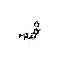 Cc1c(Nc2ncc3cc(Cl)c(N4CCNCC4)cc3n2)cnn1C1CC1